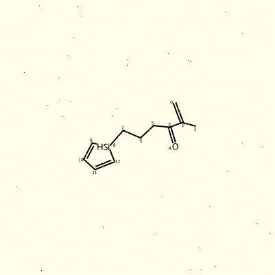 C=C(C)C(=O)CCC[SiH]1C=CC=C1